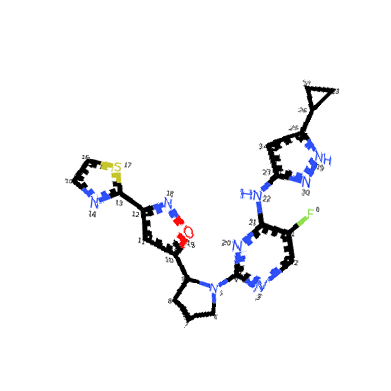 Fc1cnc(N2CCCC2c2cc(-c3nccs3)no2)nc1Nc1cc(C2CC2)[nH]n1